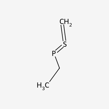 C=S=PCC